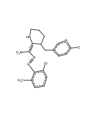 CCc1cccc(C)c1/N=N/C(=C1/NCCCN1Cc1ccc(Cl)nc1)[N+](=O)[O-]